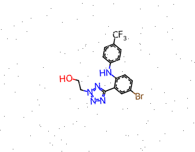 OCCn1nnc(-c2cc(Br)ccc2Nc2ccc(C(F)(F)F)cc2)n1